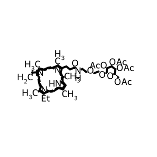 C=Cc1c(C)c2cc3nc(c(C)c4cc(C)c(cc5nc(cc1[nH]2)C(C)=C5CC)[nH]4)C(CCC(=O)NCCOCCO[C@@H]1O[C@H](COC(C)=O)[C@@H](OC(C)=O)[C@H](OC(C)=O)[C@H]1OC(C)=O)=C3C